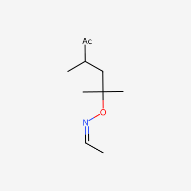 C/C=N\OC(C)(C)CC(C)C(C)=O